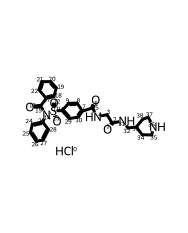 Cl.O=C(CNC(=O)c1ccc(S(=O)(=O)N(C(=O)c2ccccc2)c2ccccc2)cc1)NCC1CCNCC1